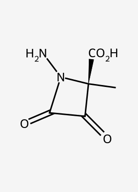 C[C@]1(C(=O)O)C(=O)C(=O)N1N